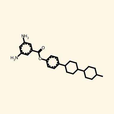 CC1CCC(C2CCC(c3ccc(OC(=O)c4cc(N)cc(N)c4)cc3)CC2)CC1